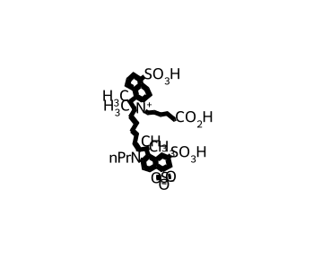 CCCN1/C(=C/C=C/C=C/C2=[N+](CCCCCC(=O)O)c3ccc4c(S(=O)(=O)O)cccc4c3C2(C)C)C(C)(C)c2c1ccc1c(S(=O)(=O)[O-])cc(S(=O)(=O)O)cc21